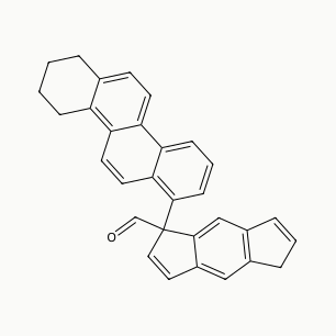 O=CC1(c2cccc3c2ccc2c4c(ccc23)CCCC4)C=Cc2cc3c(cc21)C=CC3